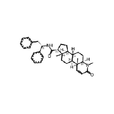 CN1C(=O)C=C[C@]2(C)[C@H]3CC[C@]4(C)[C@@H](C(=O)N[C@@H](Cc5ccccc5)c5ccccc5)CC[C@H]4[C@@H]3CC[C@@H]12